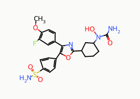 COc1ccc(-c2nc(C3CCCC(N(O)C(N)=O)C3)oc2-c2ccc(S(N)(=O)=O)cc2)cc1F